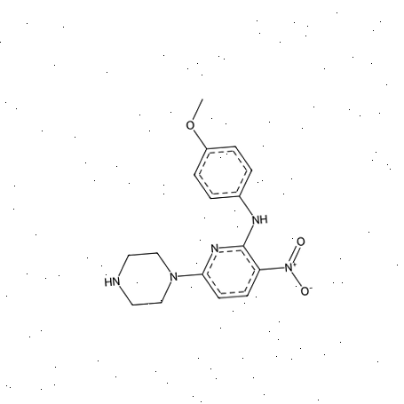 COc1ccc(Nc2nc(N3CCNCC3)ccc2[N+](=O)[O-])cc1